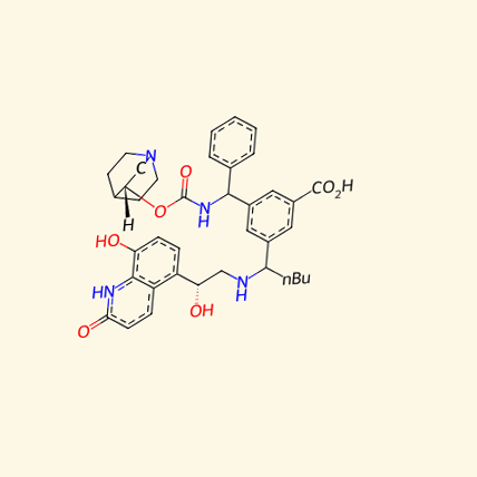 CCCCC(NC[C@H](O)c1ccc(O)c2[nH]c(=O)ccc12)c1cc(C(=O)O)cc(C(NC(=O)O[C@H]2CN3CCC2CC3)c2ccccc2)c1